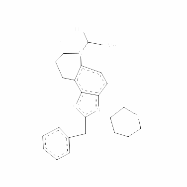 COC(O)N1c2ccc3c(nc(Cc4ccccc4)n3[C@H]3CCCNC3)c2CC[C@@H]1C